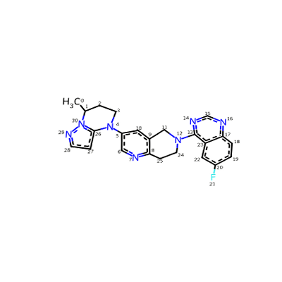 CC1CCN(c2cnc3c(c2)CN(c2ncnc4ccc(F)cc24)CC3)c2ccnn21